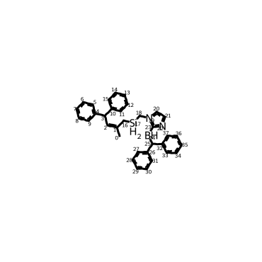 CC(=CC(c1ccccc1)c1ccccc1)C[SiH2]Cn1ccnc1BC(c1ccccc1)c1ccccc1